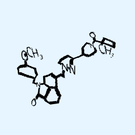 COc1ccc(CN2C(=O)c3cccc4c(Cn5ccc(C6CCN(C(=O)C7(C)CCC7)CC6)n5)ccc2c34)cc1